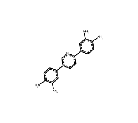 Nc1ccc(-c2ccc(-c3ccc(N)c(N)c3)nc2)cc1N